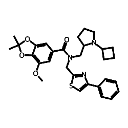 COc1cc(C(=O)N(Cc2nc(-c3ccccc3)cs2)CC2CCCN2C2CCC2)cc2c1OC(C)(C)O2